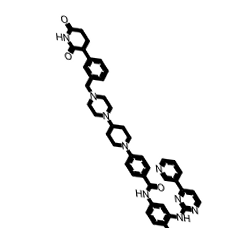 Cc1ccc(NC(=O)c2ccc(N3CCC(N4CCN(Cc5cccc(C6CCC(=O)NC6=O)c5)CC4)CC3)cc2)cc1Nc1nccc(-c2cccnc2)n1